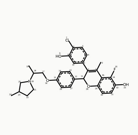 CC1=C(c2ccc(Cl)c(O)c2)C(c2ccc(OCC(C)N3CCC(C)C3)cc2)Oc2ccc(O)c(F)c21